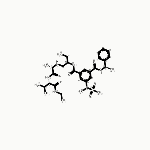 CCNC(=O)[C@@H](NC(=O)[C@H](C)NCC(CC)NC(=O)c1cc(C(=O)N[C@H](C)c2ccccc2)cc(N(C)S(C)(=O)=O)c1)C(C)C